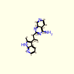 Cc1[nH]c2ncccc2c1C(C)Cc1nc(N)c2ccncc2n1